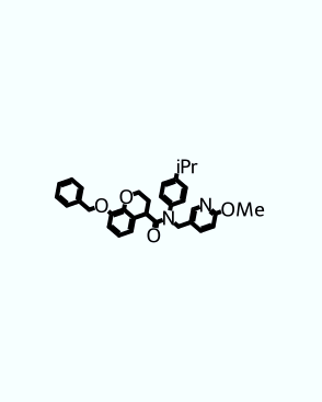 COc1ccc(CN(C(=O)C2CCOc3c(OCc4ccccc4)cccc32)c2ccc(C(C)C)cc2)cn1